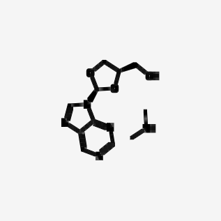 CNC.OC[C@@H]1CO[C@H](n2cnc3cncnc32)O1